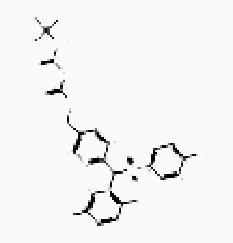 CC(C)(C)OC(=O)NC(=O)OCc1ccc(C(c2cc(F)ccc2F)S(=O)(=O)c2ccc(Cl)cc2)nc1